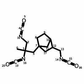 CC(CN=C=O)(CC12CCC(C1)C(CN=C=O)C2)N=C=O